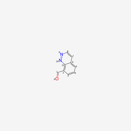 O=Cc1cccc2ccnnc12